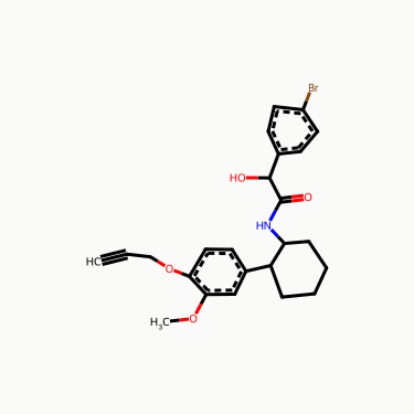 C#CCOc1ccc(C2CCCCC2NC(=O)C(O)c2ccc(Br)cc2)cc1OC